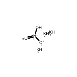 O=[N+]([O-])O.[KH].[KH].[KH]